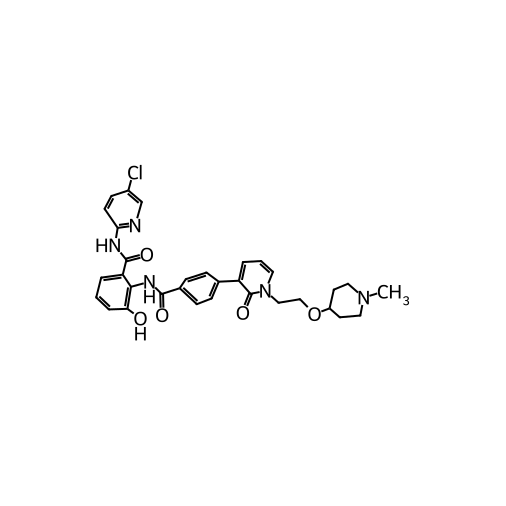 CN1CCC(OCCn2cccc(-c3ccc(C(=O)Nc4c(O)cccc4C(=O)Nc4ccc(Cl)cn4)cc3)c2=O)CC1